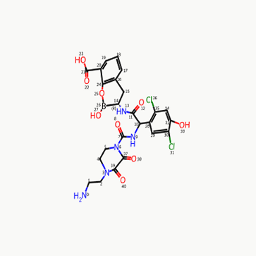 NCCN1CCN(C(=O)NC(C(=O)N[C@H]2Cc3cccc(C(=O)O)c3OB2O)c2cc(Cl)c(O)cc2Cl)C(=O)C1=O